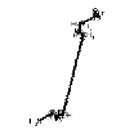 C=P(O)(OCCCCCCCCCCCCCCCCCCCCCCCCCCCCCCCCCCCCCCCCCOP(=C)(O)OC1CCOC1COP(=C)(O)OCCCCCCSC1CC(=O)N(CC)C1=O)OCC1OCCC1OP(=C)(O)OCCCCCCN